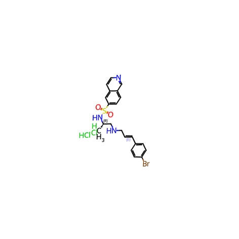 C[C@H](CNC/C=C/c1ccc(Br)cc1)NS(=O)(=O)c1ccc2cnccc2c1.Cl.Cl